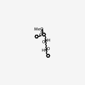 COCOc1ccc(CCNC(=O)CCCCC(=O)NCCc2ccccc2)cc1OCc1ccccc1